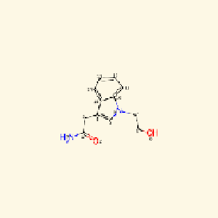 NC(=O)Cc1cn(CCO)c2ccccc12